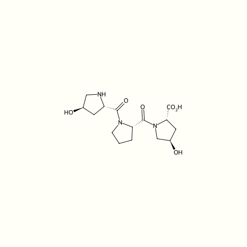 O=C(O)[C@@H]1C[C@@H](O)CN1C(=O)[C@@H]1CCCN1C(=O)[C@@H]1C[C@@H](O)CN1